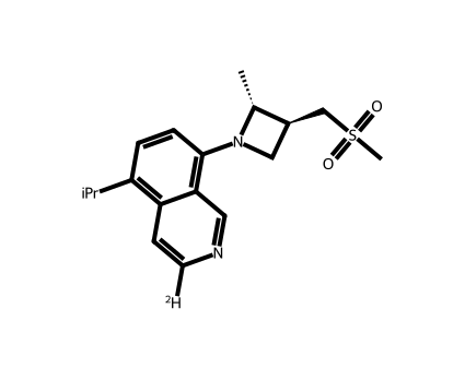 [2H]c1cc2c(C(C)C)ccc(N3C[C@H](CS(C)(=O)=O)[C@H]3C)c2cn1